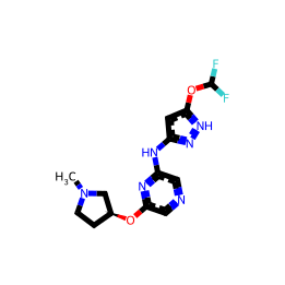 CN1CC[C@H](Oc2cncc(Nc3cc(OC(F)F)[nH]n3)n2)C1